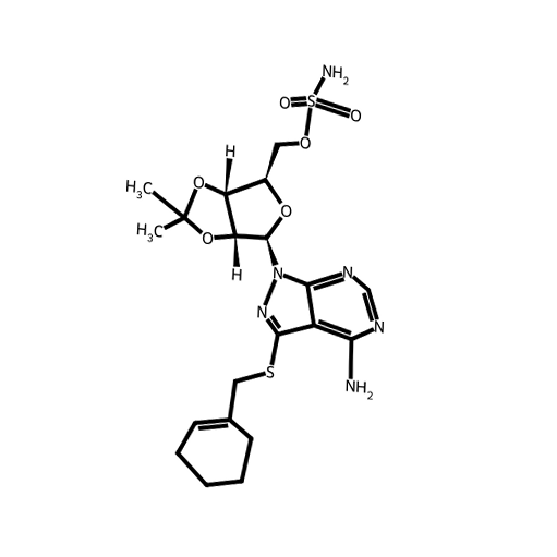 CC1(C)O[C@@H]2[C@H](O1)[C@@H](COS(N)(=O)=O)O[C@H]2n1nc(SCC2=CCCCC2)c2c(N)ncnc21